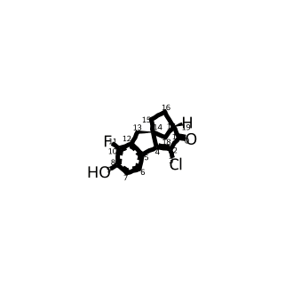 O=C1C(Cl)=C2c3ccc(O)c(F)c3C[C@]23CC[C@H]1C3